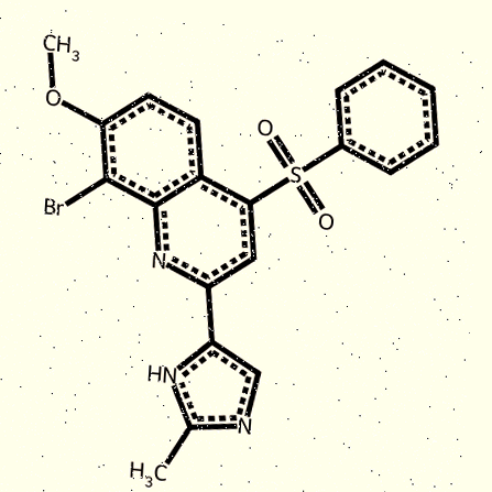 COc1ccc2c(S(=O)(=O)c3ccccc3)cc(-c3cnc(C)[nH]3)nc2c1Br